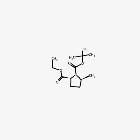 CCOC(=O)[C@@H]1CC[C@H](C)N1C(=O)OC(C)(C)C